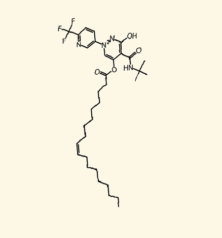 CCCCCCCC/C=C\CCCCCCCC(=O)Oc1c[n+](-c2ccc(C(F)(F)F)nc2)nc(O)c1C(=O)NC(C)(C)C